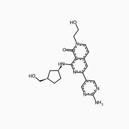 Nc1ncc(-c2cc3ccn(CCO)c(=O)c3c(N[C@H]3CC[C@@H](CO)C3)n2)cn1